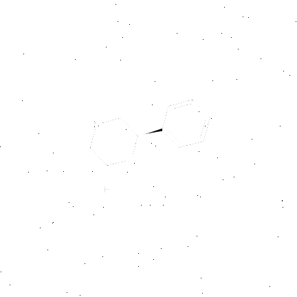 C[C@@H]1CNC[C@@H](c2ccccc2)O1